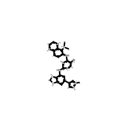 Cn1cc(-c2cc(Nc3ncc(Br)c(Nc4ccc5nccnc5c4P(C)C)n3)c3c(c2)OCO3)cn1